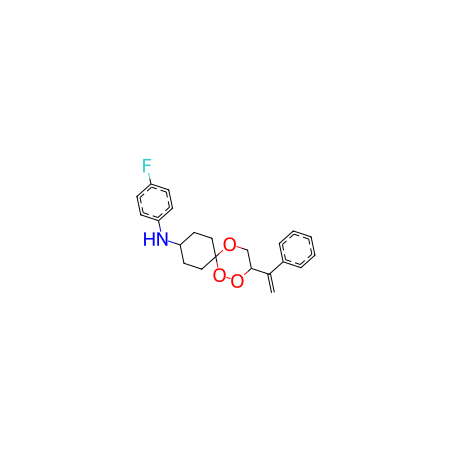 C=C(c1ccccc1)C1COC2(CCC(Nc3ccc(F)cc3)CC2)OO1